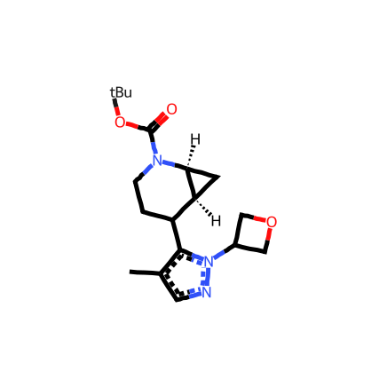 Cc1cnn(C2COC2)c1C1CCN(C(=O)OC(C)(C)C)[C@H]2C[C@@H]12